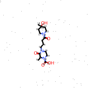 CC1C(=O)N(CCCC(=O)N2CCC(C)(O)CC2)CCN1C(=O)O